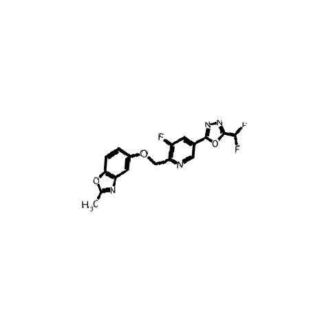 Cc1nc2cc(OCc3ncc(-c4nnc(C(F)F)o4)cc3F)ccc2o1